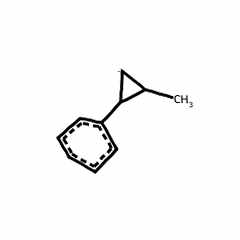 CC1[CH]C1c1ccccc1